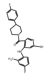 Cc1cc(F)ccc1Nc1cc(S)ncc1C(=O)N1CCC(c2ccc(F)cc2)CC1